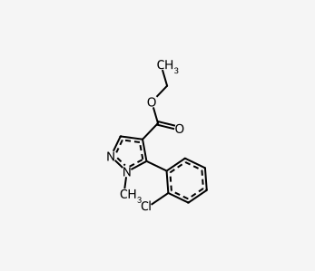 CCOC(=O)c1cnn(C)c1-c1ccccc1Cl